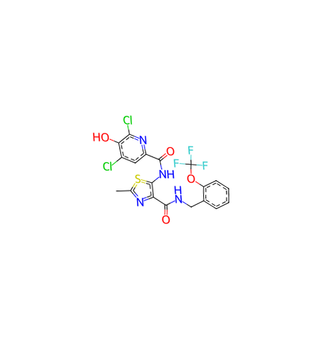 Cc1nc(C(=O)NCc2ccccc2OC(F)(F)F)c(NC(=O)c2cc(Cl)c(O)c(Cl)n2)s1